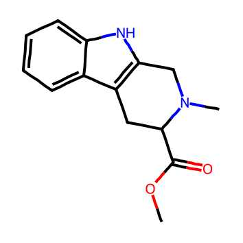 COC(=O)C1Cc2c([nH]c3ccccc23)CN1C